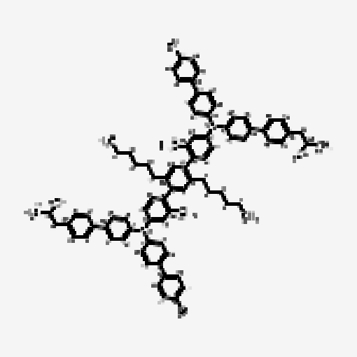 CCCCCCc1cc(-c2ccc(N(c3ccc(-c4ccc(Br)cc4)cc3)c3ccc(-c4ccc(CC(C)C)cc4)cc3)cc2C)c(CCCCCC)cc1-c1ccc(N(c2ccc(-c3ccc(Br)cc3)cc2)c2ccc(-c3ccc(CC(C)C)cc3)cc2)cc1C